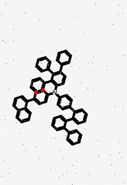 c1ccc(-c2ccccc2-c2ccccc2-c2ccc(N(c3ccc(-c4cccc5ccccc45)cc3)c3ccc(-c4ccccc4)c(-c4ccccc4)c3-c3ccccc3)cc2)cc1